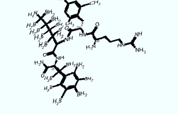 Bc1c(B)c(B)c(C(B)(B)[C@H](NC(=O)C(NC(=O)[C@H](Cc2c(C)cc(O)cc2C)NC(=O)[C@H](N)CCCNC(=N)N)C(B)(B)C(B)(B)C(B)(B)C(B)(B)N)C(N)=O)c(B)c1B